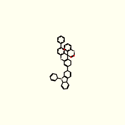 C1=CCC(N2C3=C(C=CC(C4=CC5=C(CC4)C4(c6cc(-c7ccccc7)ccc6S5)c5ccccc5Sc5ccccc54)C3)C3C=CC=CC32)C=C1